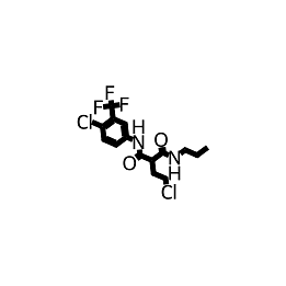 CCCNC(=O)C(CCCl)C(=O)Nc1ccc(Cl)c(C(F)(F)F)c1